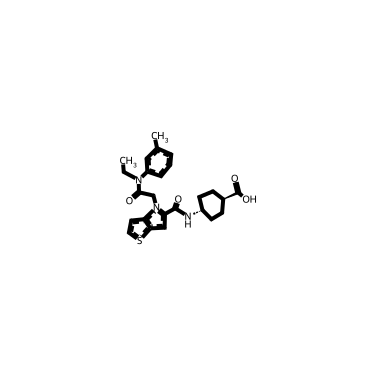 CCN(C(=O)Cn1c(C(=O)N[C@H]2CC[C@H](C(=O)O)CC2)cc2sccc21)c1cccc(C)c1